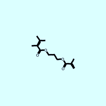 C=C(C)C(=O)OCCCOC(=O)C(C)=C(C)C